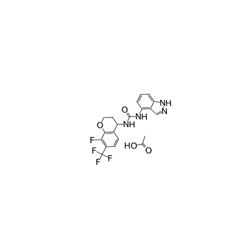 CC(=O)O.O=C(Nc1cccc2[nH]ncc12)NC1CCOc2c1ccc(C(F)(F)F)c2F